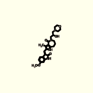 COc1ccc2c(c1)NC(=O)C2=Cc1[nH]c2c(c1C)C(=O)N(CC(O)CN1CCOCC1)CCC2